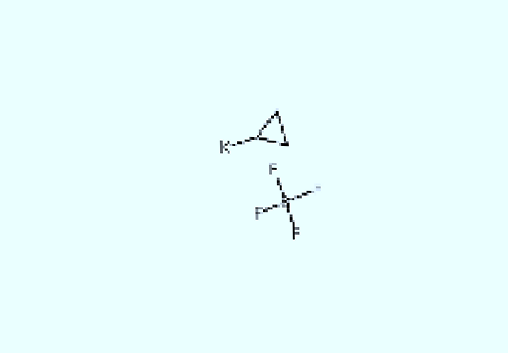 F[B-](F)(F)F.[K][CH]1CC1